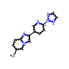 Cc1ccc2nc(-c3ccc(-n4nccn4)nc3)cn2c1